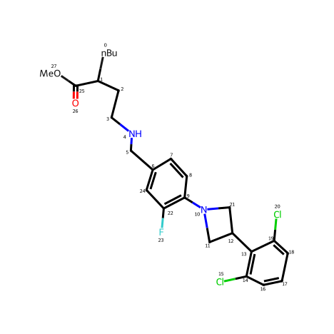 CCCCC(CCNCc1ccc(N2CC(c3c(Cl)cccc3Cl)C2)c(F)c1)C(=O)OC